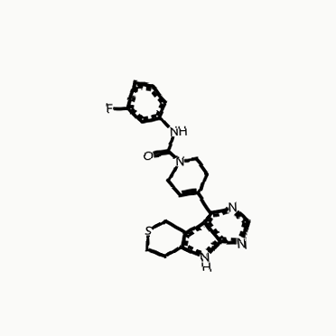 O=C(Nc1cccc(F)c1)N1CC=C(c2ncnc3[nH]c4c(c23)CSCC4)CC1